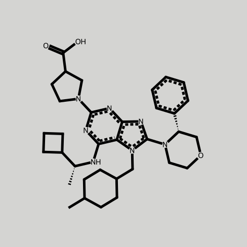 CC1CCC(Cn2c(N3CCOC[C@H]3c3ccccc3)nc3nc(N4CCC(C(=O)O)C4)nc(N[C@H](C)C4CCC4)c32)CC1